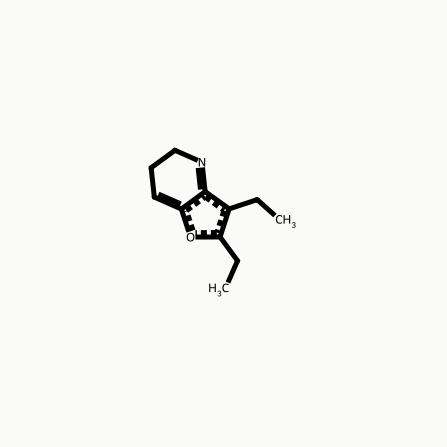 CCc1oc2c(c1CC)=NCCC=2